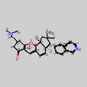 CC(=O)OC1(C)C[C@H]2[C@@H]3OC4=C(C=C3C=C[C@]2(C)[C@H]1c1ccc2cnccc2c1)C(=O)CC(CN(C)C)C4